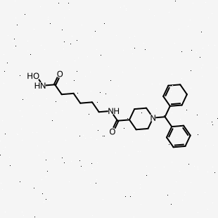 O=C(CCCCCNC(=O)C1CCN(C(C2=CCCC=C2)c2ccccc2)CC1)NO